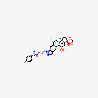 Cc1ccc(NC(=O)CCCn2ncc3c2C=C2[C@@H](F)C[C@H]4[C@@H]5C[C@H](C)[C@@]6(OCOC67COCO7)[C@@]5(C)C[C@H](O)[C@]4(F)[C@@]2(C)C3)cc1